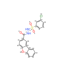 O=C(NNS(=O)(=O)c1cccc(Cl)c1)c1ccc2oc3ccccc3c2c1